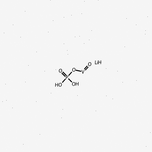 [LiH].[O]=[V][O]P(=O)(O)O